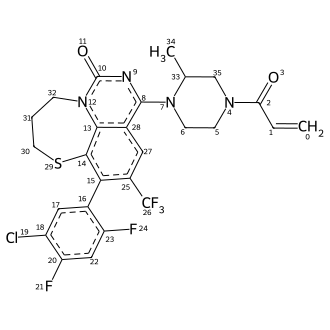 C=CC(=O)N1CCN(c2nc(=O)n3c4c(c(-c5cc(Cl)c(F)cc5F)c(C(F)(F)F)cc24)SCCC3)C(C)C1